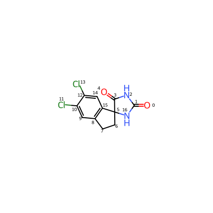 O=C1NC(=O)C2(CCc3cc(Cl)c(Cl)cc32)N1